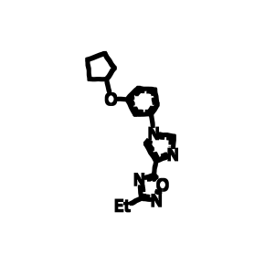 CCc1noc(-c2cn(-c3cccc(OC4CCCC4)c3)cn2)n1